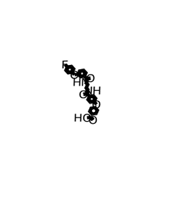 O=C(NCCNC(=O)c1cccc(Oc2ccc(F)cc2)c1)c1ccc(O[C@H]2CC[C@@H](C(=O)O)CC2)cc1